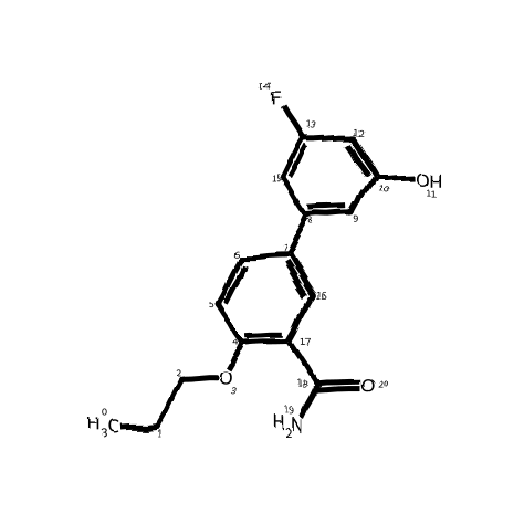 CCCOc1ccc(-c2cc(O)cc(F)c2)cc1C(N)=O